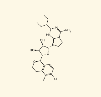 CCC(CC)C1N=C(N)C2CCN([C@@H]3O[C@H]([C@@H]4OCCc5c4ccc(Cl)c5F)[C@@H](O)[C@H]3O)C2N1